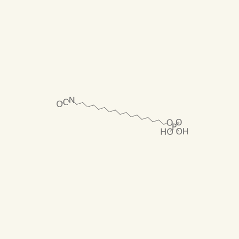 O=C=NCCCCCCCCCCCCCCCCCOP(=O)(O)O